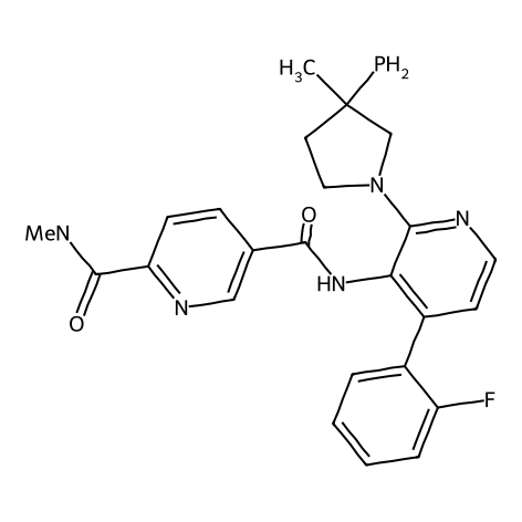 CNC(=O)c1ccc(C(=O)Nc2c(-c3ccccc3F)ccnc2N2CCC(C)(P)C2)cn1